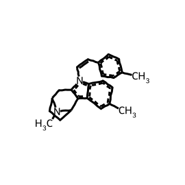 Cc1ccc(/C=C\n2c3c(c4cc(C)ccc42)C2CCC(C3)N2C)cc1